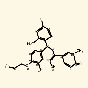 Cc1cc(Cl)ccc1C(CC(=NO)c1ccc(=O)n(C)c1)c1ccc(OCCO)c(F)c1